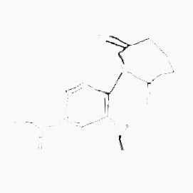 COc1cc([N+](=O)[O-])ccc1N1C(=O)CCCC1=O